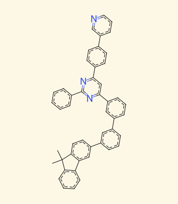 CC1(C)c2ccccc2-c2cc(-c3cccc(-c4cccc(-c5cc(-c6ccc(-c7cccnc7)cc6)nc(-c6ccccc6)n5)c4)c3)ccc21